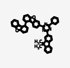 CC1(C)c2ccccc2-c2ccc(-c3nc(-c4ccccc4)nc(-c4ccc5c(c4)oc4cccc(-c6cccc7oc8ccccc8c67)c45)n3)cc21